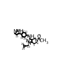 CC(=O)N1CCc2c(c(Nc3ccc(-c4ccn[nH]4)cc3)nn2CC2CC2)C1